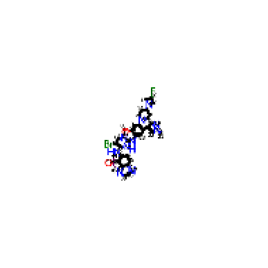 COc1cc(N2CCC(N3CC(F)C3)CC2)c(-c2cnn(C)c2)cc1Nc1ncc(Br)c(Nc2ccc3nccnc3c2P(C)(C)=O)n1